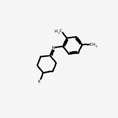 Cc1ccc(N=C2CCC(F)CC2)c(C)c1